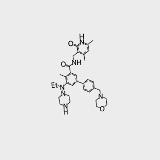 CCN(c1cc(-c2ccc(CN3CCOCC3)cc2)cc(C(=O)NCc2c(C)cc(C)[nH]c2=O)c1C)N1CCNCC1